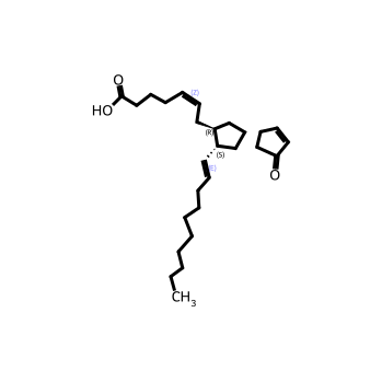 CCCCCCCC/C=C/[C@H]1CCC[C@@H]1C/C=C\CCCC(=O)O.O=C1C=CCC1